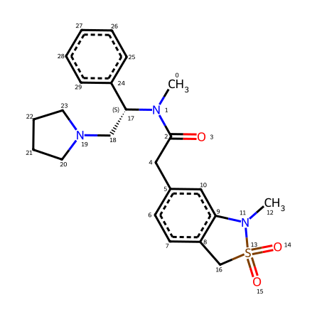 CN(C(=O)Cc1ccc2c(c1)N(C)S(=O)(=O)C2)[C@H](CN1CCCC1)c1ccccc1